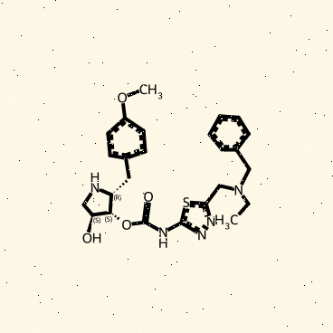 CCN(Cc1ccccc1)Cc1nnc(NC(=O)O[C@@H]2[C@@H](O)CN[C@@H]2Cc2ccc(OC)cc2)s1